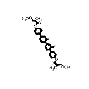 C=C(COC)C(=O)Oc1ccc(-c2ccc(-c3ccc(-c4ccc(OC(=O)C(=C)COC)cc4)c(F)c3)c(F)c2)cc1